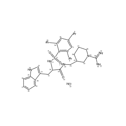 CC(C)c1cc(C(C)C)c(S(=O)(=O)NC(Cc2c[nH]c3ccccc23)C(=O)NCC2CCCN(C(=N)N)C2)c(C(C)C)c1.Cl